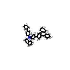 c1ccc(-c2ccc(N(c3ccc(-c4ccc(-c5ccccc5)c(-c5ccccc5)c4)cc3)c3cccc4ccccc34)cc2)cc1